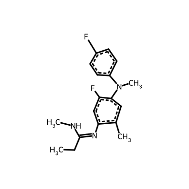 CCC(=Nc1cc(F)c(N(C)c2ccc(F)cc2)cc1C)NC